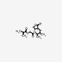 C=C(C)C(=O)OCC(=O)OC(C)C(C)CC1CCOC1=O